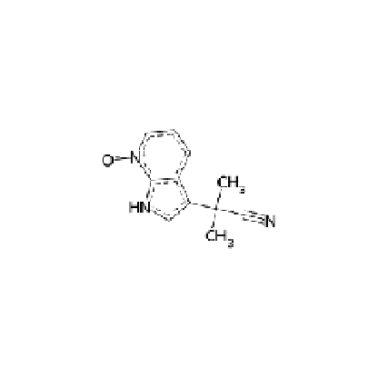 CC(C)(C#N)c1c[nH]c2c1ccc[n+]2[O-]